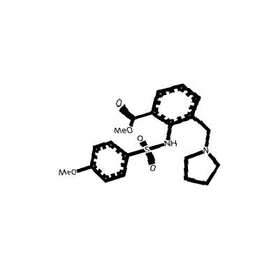 COC(=O)c1cccc(CN2CCCC2)c1NS(=O)(=O)c1ccc(OC)cc1